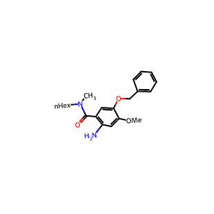 CCCCCCN(C)C(=O)c1cc(OCc2ccccc2)c(OC)cc1N